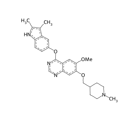 COc1cc2c(Oc3ccc4[nH]c(C)c(C)c4c3)ncnc2cc1OCC1CCN(C)CC1